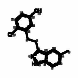 Cc1ccc2[nH]nc(CCc3cc(O)ccc3Cl)c2c1